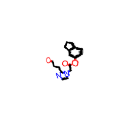 O=CCCc1nccn1CC(=O)Oc1ccc2c(c1)CCC2